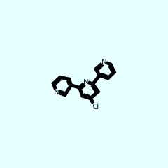 Clc1cc(-c2cccnc2)nc(-c2cccnc2)c1